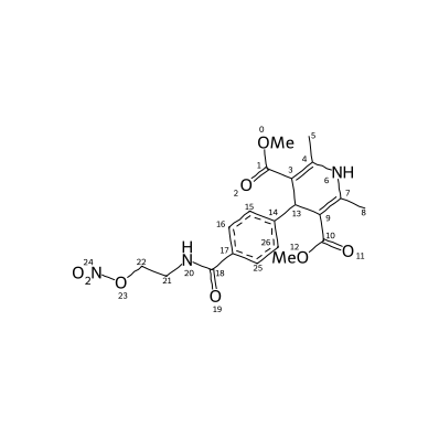 COC(=O)C1=C(C)NC(C)=C(C(=O)OC)C1c1ccc(C(=O)NCCO[N+](=O)[O-])cc1